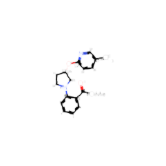 COC(=O)c1ccccc1N1CC[C@H](Oc2ccc(C(F)(F)F)cn2)C1